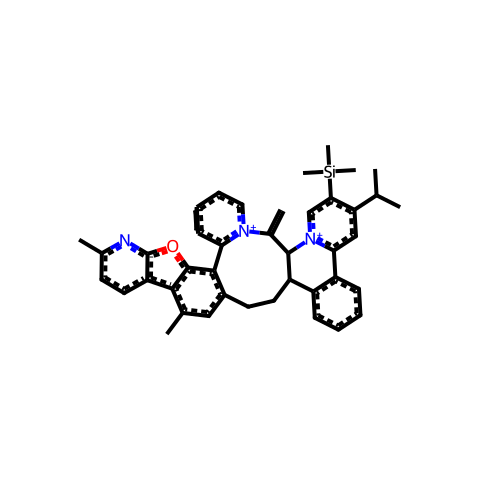 C=C1C2C(CCc3cc(C)c4c(oc5nc(C)ccc54)c3-c3c4c(cc[n+]31)CCCC4)c1ccccc1-c1cc(C(C)C)c([Si](C)(C)C)c[n+]12